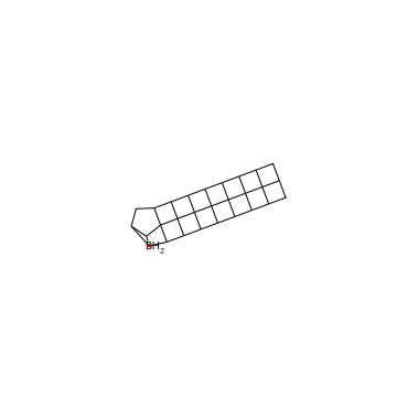 BC1C2CC3C4C5C6C7C8C9CC%10CC%11C%12C%13C%14C%15C%16C(C2)C13C4%16C5%15C6%14C7%13C8%12C%109%11